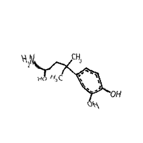 CC(C)(CC(N)O)c1ccc(O)c(O)c1